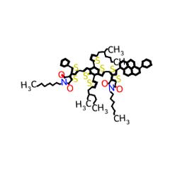 CCCCCCCCN1C(=O)c2sc3c(-c4cc5c(-c6ccc(CC(CC)CCCC)s6)c6sc(-c7sc(-c8ccc9ccc%10c(-c%11ccccc%11)ccc%11ccc8c9c%11%10)c8sc9c(c78)C(=O)N(CCCCCCCC)C9=O)cc6c(-c6ccc(CC(CC)CCCC)s6)c5s4)sc(-c4ccccc4)c3c2C1=O